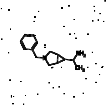 CC(N)C1C2CN(Cc3ccccc3)CC21